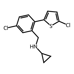 Clc1ccc(-c2ccc(Cl)s2)c(CNC2CC2)c1